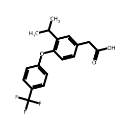 CC(C)c1cc(CC(=O)O)ccc1Oc1ccc(C(F)(F)F)cc1